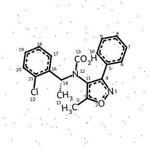 Cc1onc(-c2ccccc2)c1N(C(=O)O)[C@H](C)c1ccccc1Cl